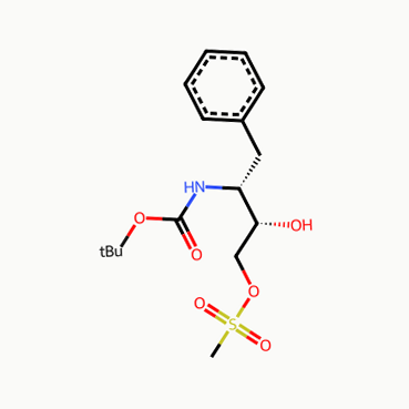 CC(C)(C)OC(=O)N[C@H](Cc1ccccc1)[C@H](O)COS(C)(=O)=O